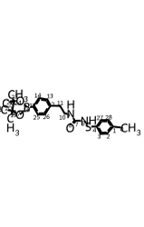 Cc1ccc(SNC(=O)NCCc2ccc(B3OC(C)(C)C(C)(C)O3)cc2)cc1